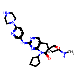 CNCC[C@]1(C=O)Cc2cnc(Nc3ccc(N4CCNCC4)nc3)nc2N(C2CCCC2)C1=O